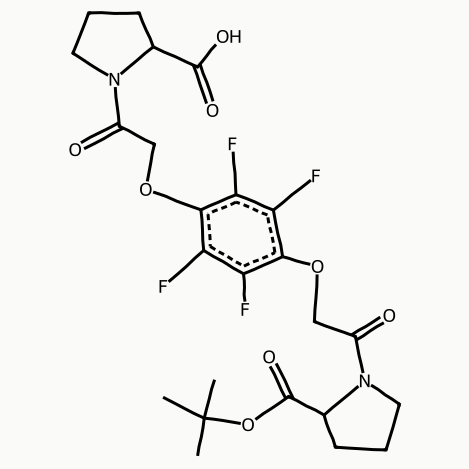 CC(C)(C)OC(=O)C1CCCN1C(=O)COc1c(F)c(F)c(OCC(=O)N2CCCC2C(=O)O)c(F)c1F